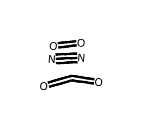 N#N.O=C=O.O=O